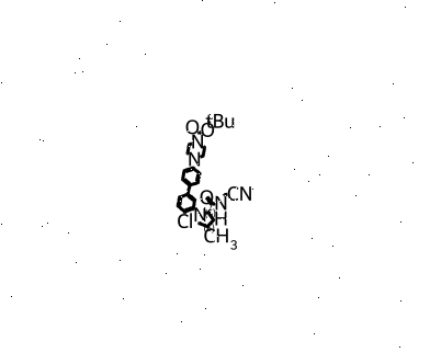 C[C@H]1C[C@@H](C(=O)NCC#N)N(c2cc(-c3ccc(N4CCN(C(=O)OC(C)(C)C)CC4)cc3)ccc2Cl)C1